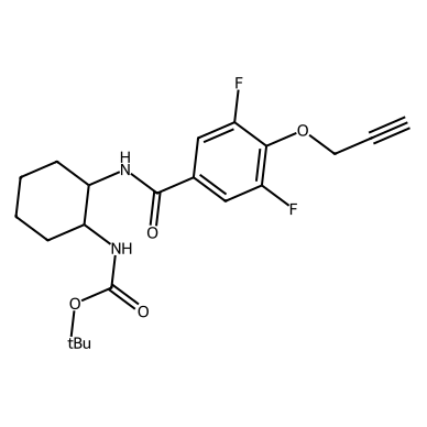 C#CCOc1c(F)cc(C(=O)NC2CCCCC2NC(=O)OC(C)(C)C)cc1F